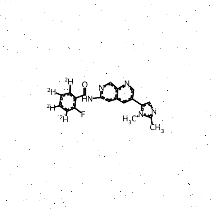 [2H]c1c([2H])c([2H])c(C(=O)Nc2cc3cc(-c4cnc(C)n4C)cnc3cn2)c(F)c1[2H]